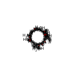 CCCC[C@H]1C(=O)N(C)[C@@H](CCCC)C(=O)NC(CCCNC(=N)N)C(=O)N[C@H](C(=O)NCC(N)=O)CSCC(=O)N[C@@H](Cc2ccc(O)cc2)C(=O)N(C)[C@@H](C)C(=O)N[C@@H](CC(N)=O)C(=O)N2CCCC2C(=O)N[C@@H](CN)C(=O)N[C@@H](CC(C)C)C(=O)N2C[C@H](O)CC2C(=O)N[C@@H](Cc2c[nH]c3ccccc23)C(=O)N[C@@H](CO)C(=O)N[C@@H](Cc2c(-c3ccc(OCCC)cc3)[nH]c3ccccc23)C(=O)N1C